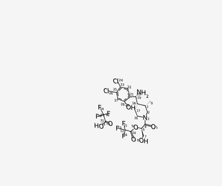 C[C@@H]1CN(C(=O)[C@@H](CO)OC(=O)C(F)(F)F)CC[C@@H]1[C@@H](N)c1cc(Cl)c(Cl)cc1O.O=C(O)C(F)(F)F